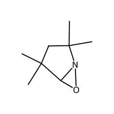 CC1(C)CC(C)(C)N2OC21